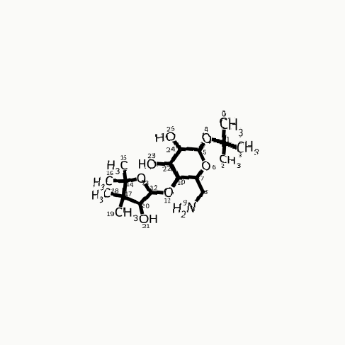 CC(C)(C)OC1OC(CN)C(OC2OC(C)(C)C(C)(C)C2O)C(O)C1O